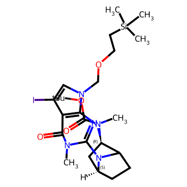 CN(C(=O)OC(C)(C)C)[C@@H]1C[C@@H]2CCC1N2c1nc2c(c(I)cn2COCC[Si](C)(C)C)c(=O)n1C